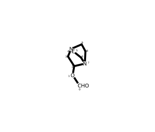 O=COC1CN2CCN1CC2